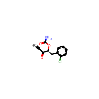 C#CC(=O)[C@H](Cc1ccccc1Cl)OC(N)=O